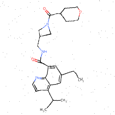 CCc1cc(C(=O)NCC2CN(C(=O)C3CCOCC3)C2)c2nccc(C(C)C)c2c1